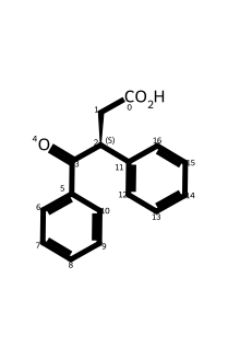 O=C(O)C[C@H](C(=O)c1ccccc1)c1ccccc1